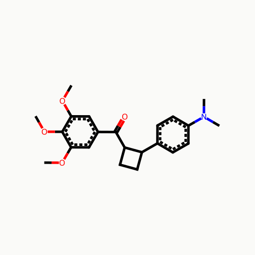 COc1cc(C(=O)C2CCC2c2ccc(N(C)C)cc2)cc(OC)c1OC